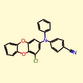 N#Cc1ccc(N(c2ccccc2)c2cc(Cl)c3c(c2)Oc2ccccc2O3)cc1